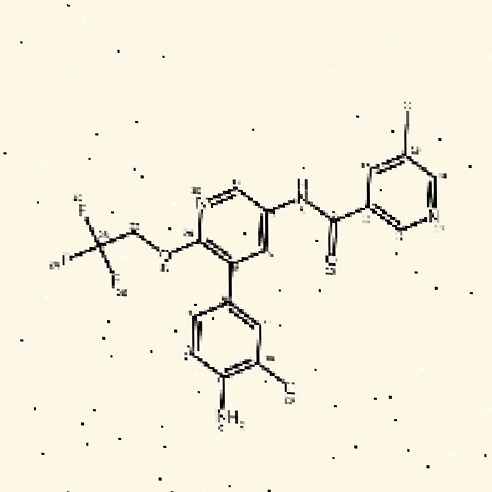 Nc1ccc(-c2cc(NC(=O)c3cncc(I)c3)cnc2OCC(F)(F)F)cc1Cl